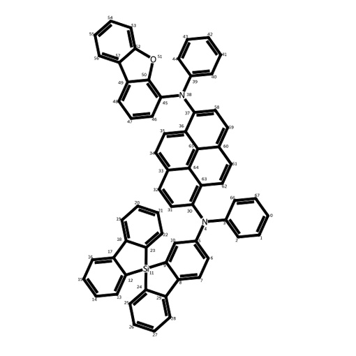 c1ccc(N(c2ccc3c(c2)[Si]2(c4ccccc4-c4ccccc42)c2ccccc2-3)c2ccc3ccc4c(N(c5ccccc5)c5cccc6c5oc5ccccc56)ccc5ccc2c3c54)cc1